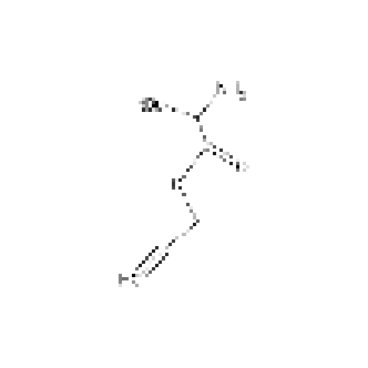 C#CCOC(=O)C(N)C(C)(C)C